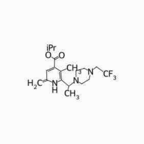 C=C1C=C(C(=O)OC(C)C)C(C)=C(C(C)N2CCN(CC(F)(F)F)CC2)N1